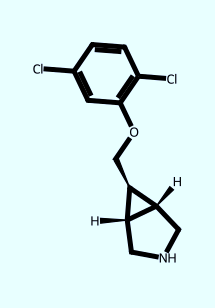 Clc1ccc(Cl)c(OC[C@H]2[C@@H]3CNC[C@@H]32)c1